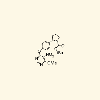 COc1ncnc(Oc2ccc(C3CCCN3C(=O)OC(C)(C)C)cc2)c1[N+](=O)[O-]